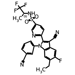 CCc1cc2c(cc1F)c(C#N)c(-c1ccc(S(=O)(=O)N[C@@H](C)C(F)(F)F)cn1)n2-c1cccc(C#N)c1